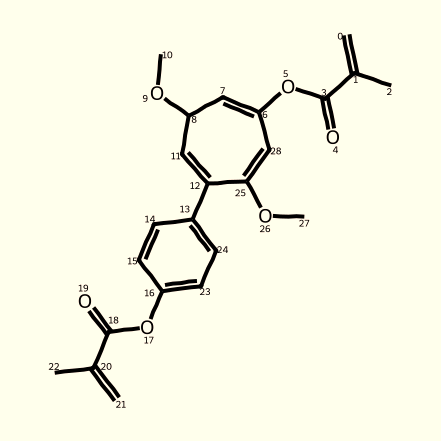 C=C(C)C(=O)OC1=CC(OC)C=C(c2ccc(OC(=O)C(=C)C)cc2)C(OC)=C1